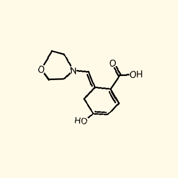 O=C(O)C1=CC=C(O)CC1=CN1CCOCC1